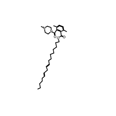 CCCCC/C=C/C/C=C/CCCCCCCCOC(=O)C1=C(C(=O)N2CCN(C)CC2)C(C)=C=C=C1C